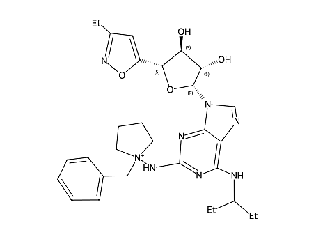 CCc1cc([C@H]2O[C@@H](n3cnc4c(NC(CC)CC)nc(N[N+]5(Cc6ccccc6)CCCC5)nc43)[C@@H](O)[C@@H]2O)on1